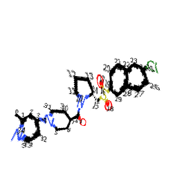 Cc1cc(N2CCC(C(=O)N3CCC[C@@H]3CS(=O)(=O)c3ccc4cc(Cl)ccc4c3)CC2)ccn1